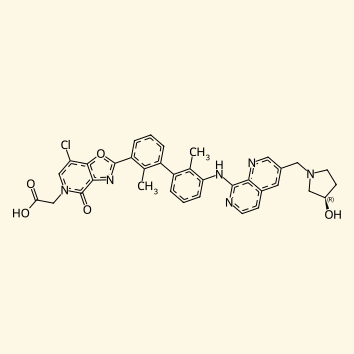 Cc1c(Nc2nccc3cc(CN4CC[C@@H](O)C4)cnc23)cccc1-c1cccc(-c2nc3c(=O)n(CC(=O)O)cc(Cl)c3o2)c1C